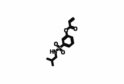 C=CC(=O)Oc1cccc(S(=O)(=O)NCC(C)C)c1